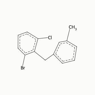 Cc1cccc(Cc2c(Cl)cccc2Br)c1